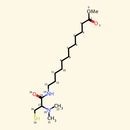 COC(=O)CCCCCCCCCCCNC(=O)C(CS)N(C)C